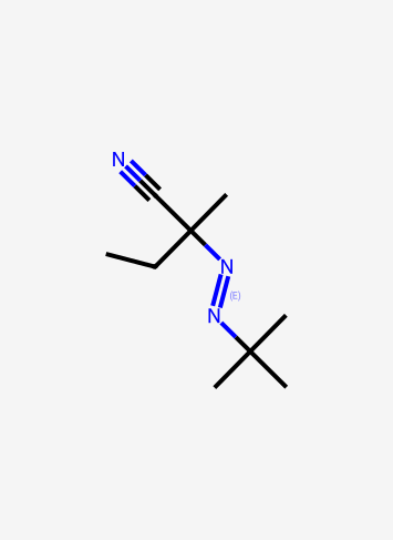 CCC(C)(C#N)/N=N/C(C)(C)C